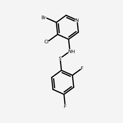 Fc1ccc(SNc2cncc(Br)c2Cl)c(F)c1